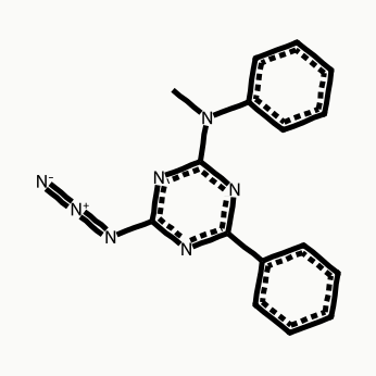 CN(c1ccccc1)c1nc(N=[N+]=[N-])nc(-c2ccccc2)n1